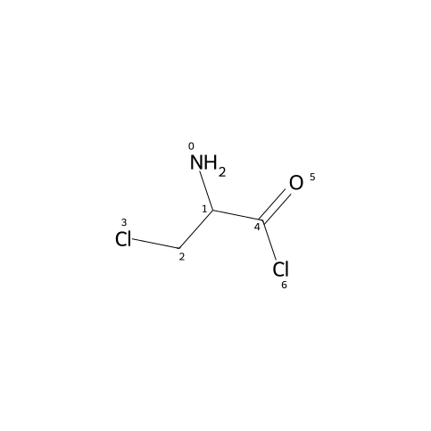 NC(CCl)C(=O)Cl